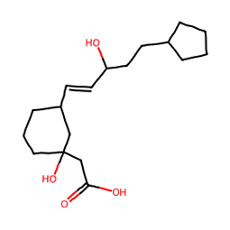 O=C(O)CC1(O)CCCC(C=CC(O)CCC2CCCC2)C1